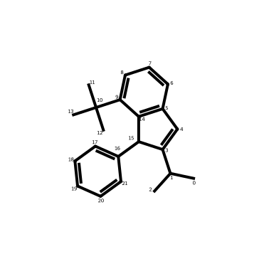 CC(C)C1=Cc2cccc(C(C)(C)C)c2C1c1ccccc1